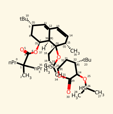 CCCC(C)(CCC)C(=O)O[C@H]1C[C@H](C(C)(C)C)C=C2C=C[C@H](C)[C@](CC[C@@H]3C[C@H](C(C)(C)C)C(O[SiH](C)C)C(=O)O3)(O[SiH](C)C)[C@H]21